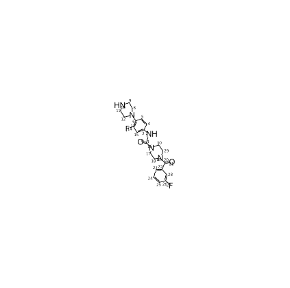 O=C(Nc1ccc(N2CCNCC2)c(F)c1)N1CCN(C(=O)c2cccc(F)c2)CC1